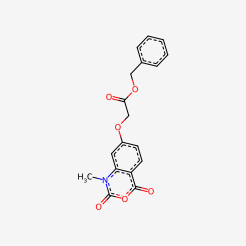 Cn1c(=O)oc(=O)c2ccc(OCC(=O)OCc3ccccc3)cc21